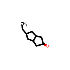 CCC1CC2CC(=O)CC2C1